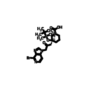 CC(C)(C)[Si](C)(C)O[C@]1(CC(=O)Cn2cnc3c(Br)nccc32)CCCN(C(=O)O)C1